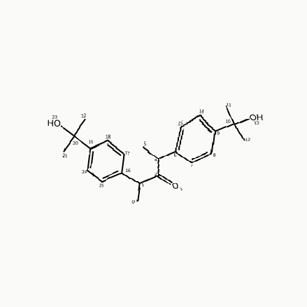 CC(C(=O)C(C)c1ccc(C(C)(C)O)cc1)c1ccc(C(C)(C)O)cc1